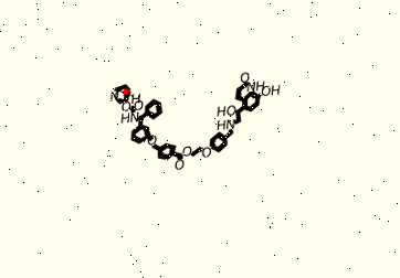 O=C(NC(c1ccccc1)c1cccc(OCc2ccc(C(=O)OCCOc3ccc(CNC[C@@H](O)c4ccc(O)c5[nH]c(=O)ccc45)cc3)cc2)c1)O[C@H]1CN2CCC1CC2